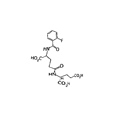 O=C(O)CC[C@@H](NC(=O)CCC(NC(=O)c1ccccc1F)C(=O)O)C(=O)O